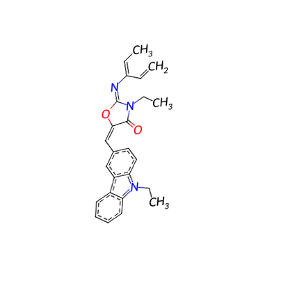 C=C/C(=C\C)N=C1O/C(=C/c2ccc3c(c2)c2ccccc2n3CC)C(=O)N1CC